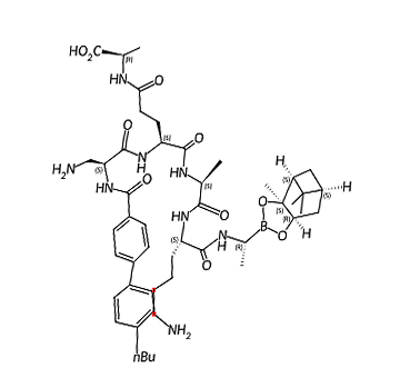 CCCCc1ccc(-c2ccc(C(=O)N[C@@H](CN)C(=O)N[C@@H](CCC(=O)N[C@H](C)C(=O)O)C(=O)N[C@@H](C)C(=O)N[C@@H](CCCCN)C(=O)N[C@@H](C)B3O[C@@H]4C[C@@H]5C[C@@H](C5(C)C)[C@]4(C)O3)cc2)cc1